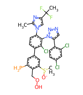 Cc1nc(C(C)(F)F)cn1-c1ccc(-c2cc(P)c(COO)c([S+](C)[O-])c2)c(Cl)c1-n1nncc1-c1ccc(Cl)cc1Cl